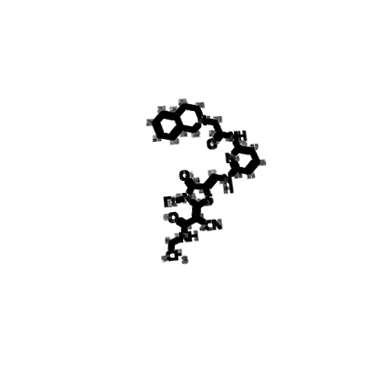 CCn1c(=C(C#N)C(=O)NCC(F)(F)F)sc(=CNc2cccc(NC(=O)CN3CCc4ccccc4C3)n2)c1=O